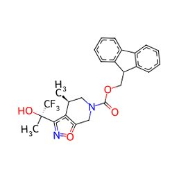 C[C@H]1CN(C(=O)OCC2c3ccccc3-c3ccccc32)Cc2onc([C@@](C)(O)C(F)(F)F)c21